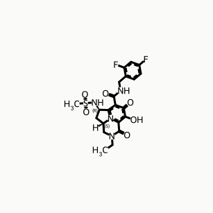 CCN1C[C@@H]2C[C@@H](NS(C)(=O)=O)c3c(C(=O)NCc4ccc(F)cc4F)c(=O)c(O)c(n32)C1=O